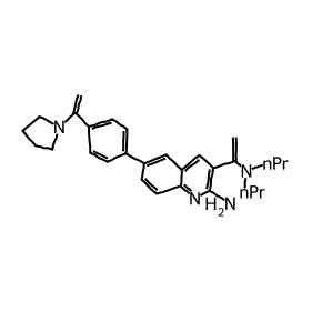 C=C(c1ccc(-c2ccc3nc(N)c(C(=C)N(CCC)CCC)cc3c2)cc1)N1CCCC1